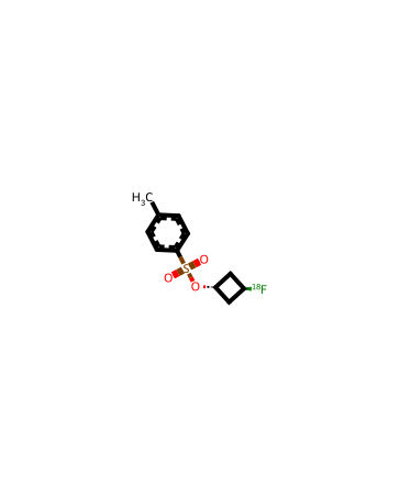 Cc1ccc(S(=O)(=O)O[C@H]2C[C@H]([18F])C2)cc1